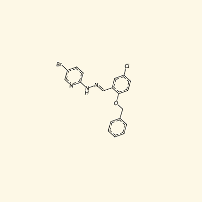 Clc1ccc(OCc2ccccc2)c(/C=N/Nc2ccc(Br)cn2)c1